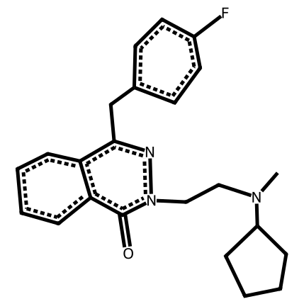 CN(CCn1nc(Cc2ccc(F)cc2)c2ccccc2c1=O)C1CCCC1